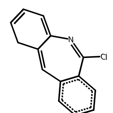 ClC1=NC2=CC=CCC2=Cc2ccccc21